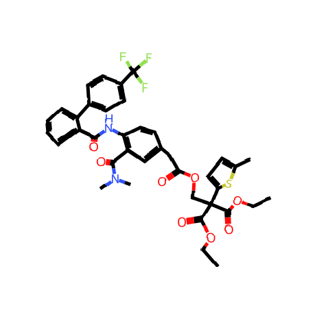 CCOC(=O)C(COC(=O)Cc1ccc(NC(=O)c2ccccc2-c2ccc(C(F)(F)F)cc2)c(C(=O)N(C)C)c1)(C(=O)OCC)c1ccc(C)s1